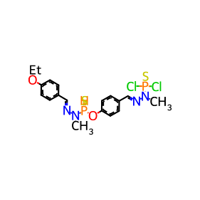 CCOc1ccc(/C=N/N(C)[PH](=S)Oc2ccc(/C=N/N(C)P(=S)(Cl)Cl)cc2)cc1